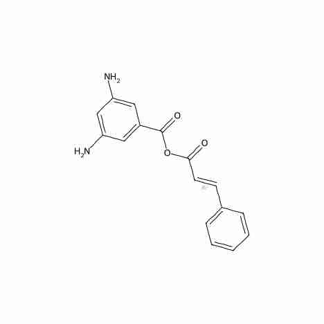 Nc1cc(N)cc(C(=O)OC(=O)/C=C/c2ccccc2)c1